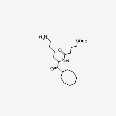 CCCCCCCCCCCCCC(=O)NC(CCCCN)C(=O)C1CCCCCCC1